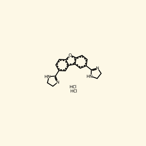 Cl.Cl.c1cc2oc3ccc(C4=NCCN4)cc3c2cc1C1=NCCN1